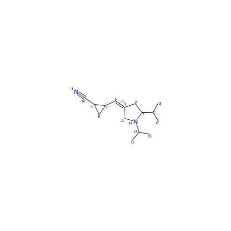 CC(C)C1C/C(=C/C2CC2C#N)CN1C(C)C